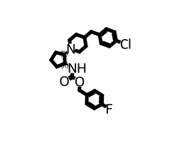 O=C(N[C@@H]1CCC[C@H]1N1CCC(Cc2ccc(Cl)cc2)CC1)OCc1ccc(F)cc1